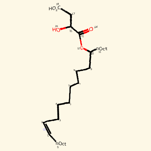 CCCCCCCC/C=C\CCCCCCCC(CCCCCCCC)OC(=O)C(O)CC(=O)O